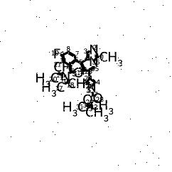 Cc1ncc2c(-c3ccc(F)cc3C(=O)N(C(C)C)C(C)C)cc(C3CN(C(=O)OC(C)(C)C)C3)cn12